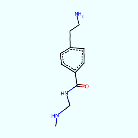 CNCNC(=O)c1ccc(CCN)cc1